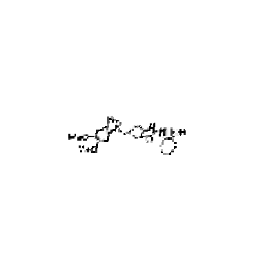 COc1cc2ncn(Cc3ccc4nc(NC5CCCCC5O)oc4c3)c2cc1OC